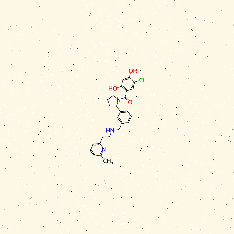 Cc1cccc(CCNCc2cccc(C3CCCN3C(=O)c3cc(Cl)c(O)cc3O)c2)n1